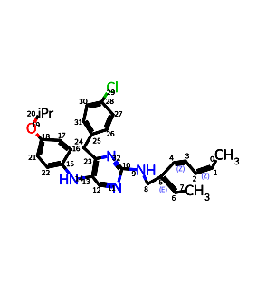 C\C=C/C=C\C(=C/C)CNc1ncc(Nc2ccc(OC(C)C)cc2)c(Cc2ccc(Cl)cc2)n1